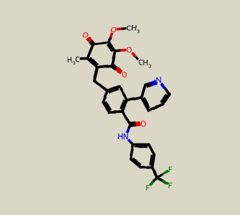 COC1=C(OC)C(=O)C(Cc2ccc(C(=O)Nc3ccc(C(F)(F)F)cc3)c(-c3cccnc3)c2)=C(C)C1=O